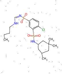 CCCCN/C=N\S(=O)(=O)c1ccc(Cl)c(S(=O)(=O)NC2CC(C)CC(C)(C)C2)c1